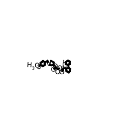 CSc1ccc(CN2CCC(OC(=O)C(=O)OC(=O)Nc3ccccc3-c3ccccc3)CC2)cc1